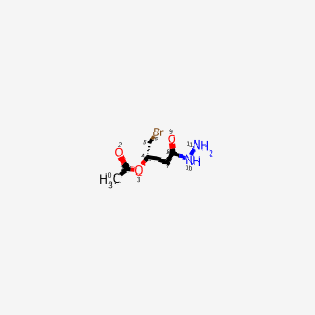 CC(=O)O[C@H](CBr)CC(=O)NN